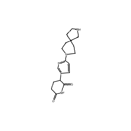 O=C1CCC(c2ccc(N3CCC4(CCNC4)CC3)nc2)C(=O)N1